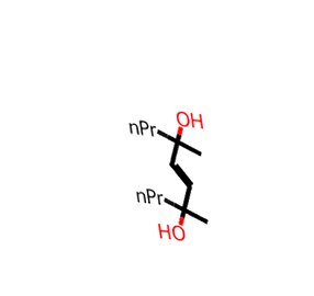 CCCC(C)(O)C=CC(C)(O)CCC